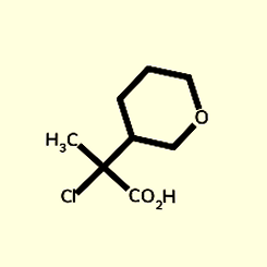 CC(Cl)(C(=O)O)C1CCCOC1